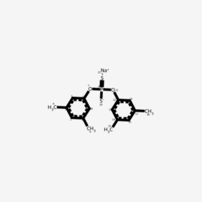 Cc1cc(C)cc(OP(=S)([S-])Oc2cc(C)cc(C)c2)c1.[Na+]